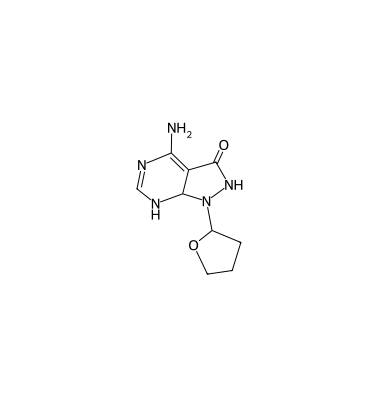 NC1=C2C(=O)NN(C3CCCO3)C2NC=N1